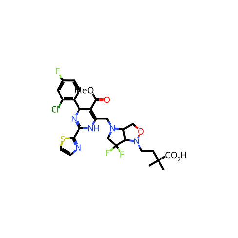 COC(=O)C1=C(CN2CC(F)(F)C3C2CON3CCC(C)(C)C(=O)O)NC(c2nccs2)=NC1c1ccc(F)cc1Cl